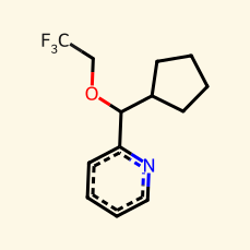 FC(F)(F)COC(c1ccccn1)C1CCCC1